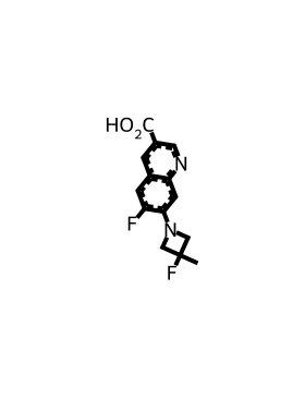 CC1(F)CN(c2cc3ncc(C(=O)O)cc3cc2F)C1